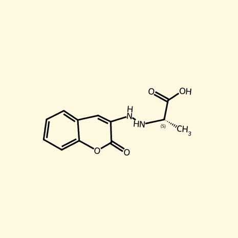 C[C@H](NNc1cc2ccccc2oc1=O)C(=O)O